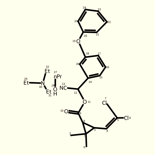 CC1(C)C(C=C(Cl)Cl)C1C(=O)OC(C#N)c1cccc(Oc2ccccc2)c1.CCCO.CCN(CC)CC